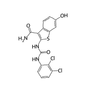 NC(=O)c1c(NC(=O)Nc2cccc(Cl)c2Cl)sc2cc(O)ccc12